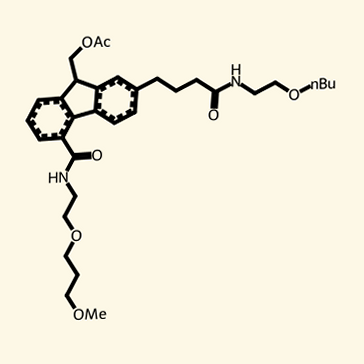 CCCCOCCNC(=O)CCCc1ccc2c(c1)C(COC(C)=O)c1cccc(C(=O)NCCOCCCOC)c1-2